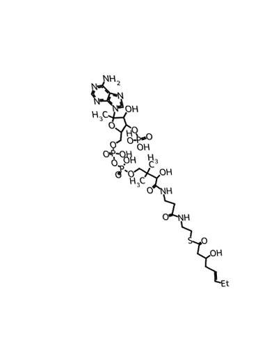 CCC=CCC(O)CC(=O)SCCNC(=O)CCNC(=O)C(O)C(C)(C)COP(=O)(O)OP(=O)(O)OCC1OC(C)(n2cnc3c(N)ncnc32)C(O)C1OP(=O)(O)O